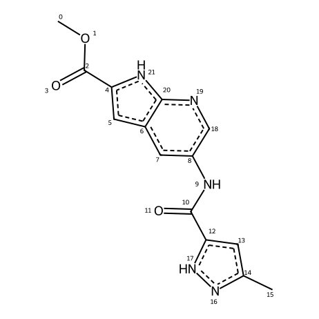 COC(=O)c1cc2cc(NC(=O)c3cc(C)n[nH]3)cnc2[nH]1